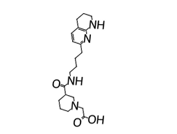 O=C(O)CN1CCCC(C(=O)NCCCCc2ccc3c(n2)NCCC3)C1